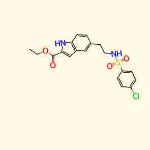 CCOC(=O)c1cc2cc(CCNS(=O)(=O)c3ccc(Cl)cc3)ccc2[nH]1